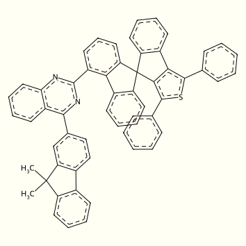 CC1(C)c2ccccc2-c2ccc(-c3nc(-c4cccc5c4-c4ccccc4C54c5ccccc5-c5c(-c6ccccc6)sc(-c6ccccc6)c54)nc4ccccc34)cc21